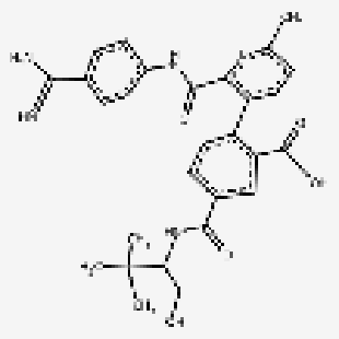 Cc1ccc(-c2ccc(C(=O)NC(CO)C(C)(C)C)cc2C(=O)O)c(C(=O)Nc2ccc(C(=N)N)cc2)n1